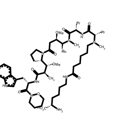 CC[C@H](C)C([C@@H](CC(=O)N1CCC[C@H]1[C@H](OC)[C@@H](C)C(=O)N[C@@H](Cc1c[nH]c2ccccc12)C(=O)N1CCCCO1)OC)N(C)C(=O)[C@@H](NC(=O)[C@H](C(C)C)N(C)CCCCCC(=O)NCCCC[C@H](N)C(=O)O)C(C)C